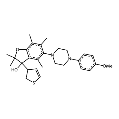 COc1ccc(N2CCN(c3c(C)c(C)c4c(c3C)C(O)(C3C=CSC3)C(C)(C)O4)CC2)cc1